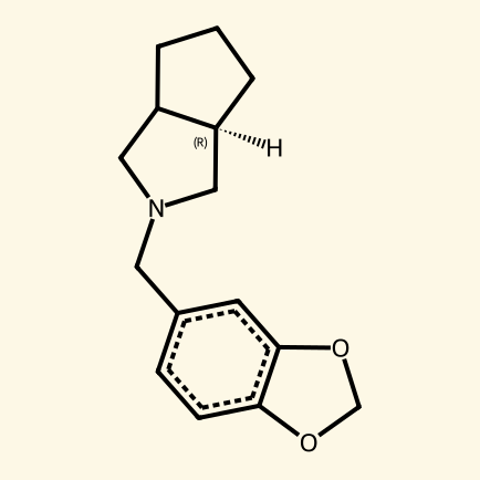 c1cc2c(cc1CN1CC3CCC[C@H]3C1)OCO2